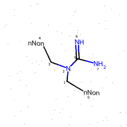 CCCCCCCCCCN(CCCCCCCCCC)C(=N)N